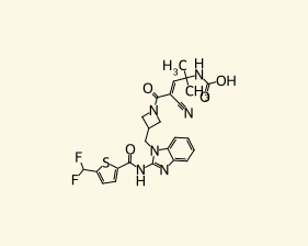 CC(C)(/C=C(\C#N)C(=O)N1CC(Cn2c(NC(=O)c3ccc(C(F)F)s3)nc3ccccc32)C1)NC(=O)O